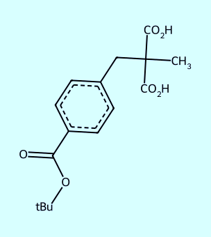 CC(C)(C)OC(=O)c1ccc(CC(C)(C(=O)O)C(=O)O)cc1